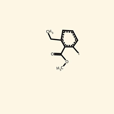 CCc1cccc(I)c1C(=O)OC